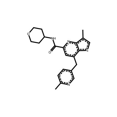 Cc1ccc(Cc2cc(C(=O)NC3CCOCC3)nc3c(C)csc23)cn1